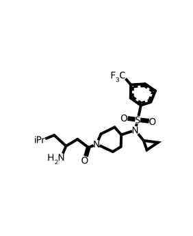 CC(C)CC(N)CC(=O)N1CCC(N(C2CC2)S(=O)(=O)c2cccc(C(F)(F)F)c2)CC1